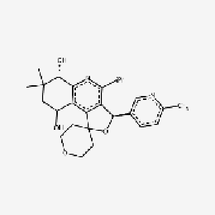 CC(C)c1nc2c(c3c1[C@@H](c1ccc(C(F)(F)F)nc1)OC31CCOCC1)C(O)CC(C)(C)[C@@H]2O